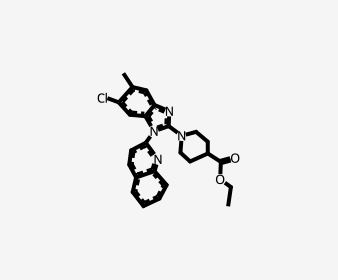 CCOC(=O)C1CCN(c2nc3cc(C)c(Cl)cc3n2-c2ccc3ccccc3n2)CC1